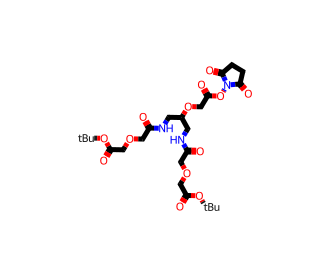 CC(C)(C)OC(=O)COCC(=O)NCC(CNC(=O)COCC(=O)OC(C)(C)C)OCC(=O)ON1C(=O)CCC1=O